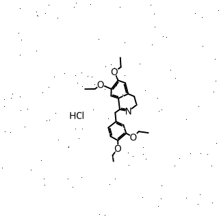 CCOc1ccc(CC2=NCCc3cc(OCC)c(OCC)cc32)cc1OCC.Cl